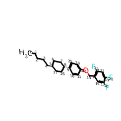 CCCCC[C@H]1CC[C@H](c2ccc(OCc3cc(F)c(F)cc3F)cc2)CC1